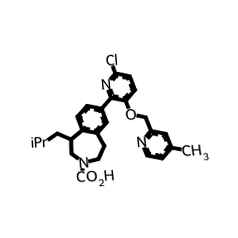 Cc1ccnc(COc2ccc(Cl)nc2-c2ccc3c(c2)CCN(C(=O)O)CC3CC(C)C)c1